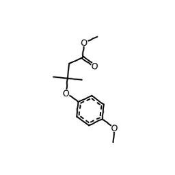 COC(=O)CC(C)(C)Oc1ccc(OC)cc1